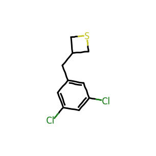 Clc1cc(Cl)cc(CC2CSC2)c1